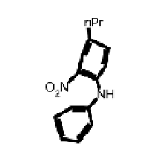 CCCc1ccc(Nc2ccccc2)c([N+](=O)[O-])c1